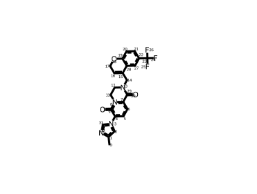 Cc1cn(-c2ccc3n(c2=O)CCN(CC2=CCOc4ccc(C(F)(F)F)cc42)C3=O)cn1